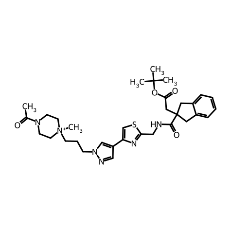 CC(=O)N1CC[N+](C)(CCCn2cc(-c3csc(CNC(=O)C4(CC(=O)OC(C)(C)C)Cc5ccccc5C4)n3)cn2)CC1